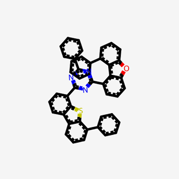 c1ccc(-c2nc(-c3cccc4c3sc3c(-c5ccccc5)cccc34)nc(-c3cccc4oc5cccc(-c6ccccc6)c5c34)n2)cc1